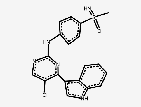 CS(=N)(=O)c1ccc(Nc2ncc(Cl)c(-c3c[nH]c4ccccc34)n2)cc1